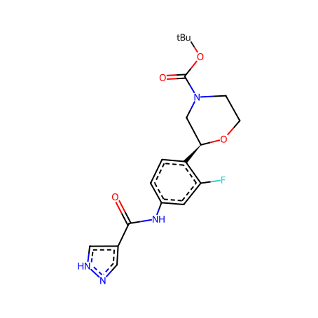 CC(C)(C)OC(=O)N1CCO[C@@H](c2ccc(NC(=O)c3cn[nH]c3)cc2F)C1